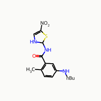 CCCCNc1ccc(C)c(C(=O)NC2NC=C([N+](=O)[O-])S2)c1